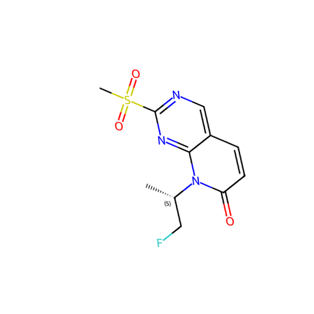 C[C@@H](CF)n1c(=O)ccc2cnc(S(C)(=O)=O)nc21